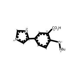 CCCCOc1ccc(-c2cnco2)cc1C(=O)O